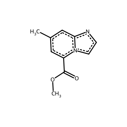 COC(=O)c1cc(C)cc2nccn12